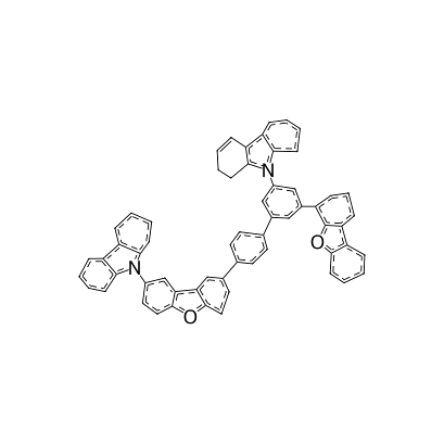 C1=Cc2c(n(-c3cc(-c4ccc(-c5ccc6oc7ccc(-n8c9ccccc9c9ccccc98)cc7c6c5)cc4)cc(-c4cccc5c4oc4ccccc45)c3)c3ccccc23)CC1